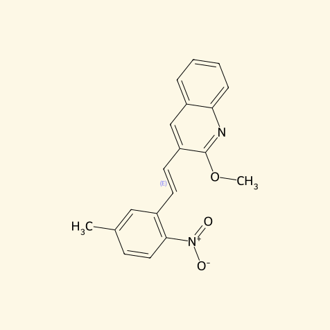 COc1nc2ccccc2cc1/C=C/c1cc(C)ccc1[N+](=O)[O-]